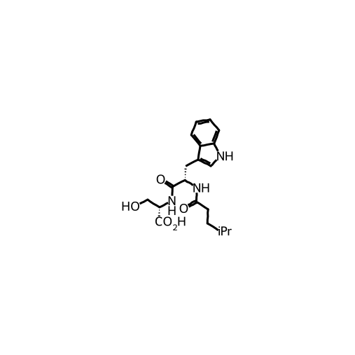 CC(C)CCC(=O)N[C@@H](Cc1c[nH]c2ccccc12)C(=O)N[C@@H](CO)C(=O)O